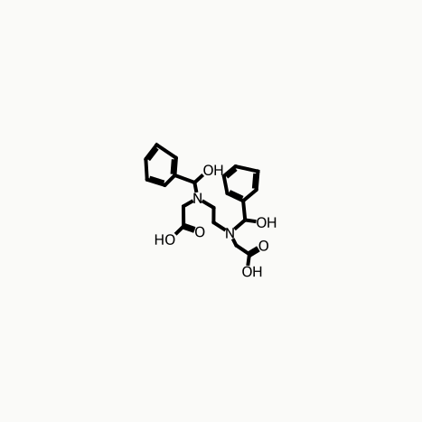 O=C(O)CN(CCN(CC(=O)O)C(O)c1ccccc1)C(O)c1ccccc1